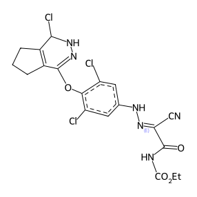 CCOC(=O)NC(=O)/C(C#N)=N/Nc1cc(Cl)c(OC2=NNC(Cl)C3=C2CCC3)c(Cl)c1